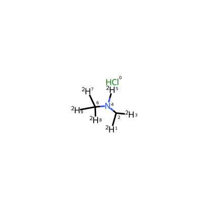 Cl.[2H]C([2H])N([2H])C([2H])([2H])[2H]